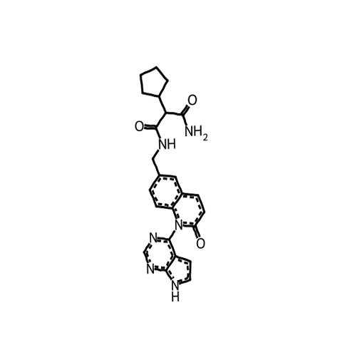 NC(=O)C(C(=O)NCc1ccc2c(ccc(=O)n2-c2ncnc3[nH]ccc23)c1)C1CCCC1